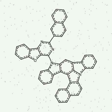 c1ccc2cc(-c3nc(-n4c5ccccc5c5c6c7c8ccccc8ccc7n7c8ccccc8c(cc54)c67)c4oc5ccccc5c4n3)ccc2c1